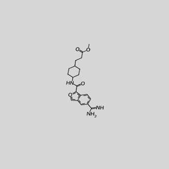 COC(=O)CCC1CCC(NC(=O)c2occ3cc(C(=N)N)ccc23)CC1